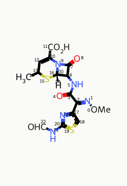 CON=C(C(=O)NC1C(=O)N2C(C(=O)O)=CC(C)S[C@@H]12)c1csc(NC=O)n1